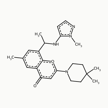 Cc1cc(C(C)Nc2ccnn2C)c2oc(N3CCC(C)(C)CC3)cc(=O)c2c1